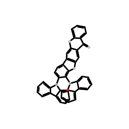 O=c1c2ccccc2oc2cc3c(cc12)oc1c(-n2c4ccccc4c4ccccc42)c(-n2c4ccccc4c4ccccc42)ccc13